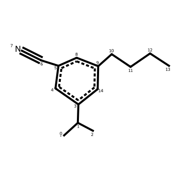 [CH2]C(C)c1cc(C#N)cc(CCCC)c1